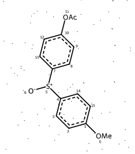 COc1ccc([S+]([O-])c2ccc(OC(C)=O)cc2)cc1